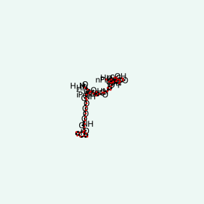 CCCC1O[C@@H]2C[C@H]3[C@@H]4C[C@H](F)C5=CC(=O)C=C[C@]5(C)[C@@]4(F)[C@@H](O)C[C@]3(C)[C@]2(C(=O)COc2ccc(CNC(=O)OCc3ccc(NC(=O)[C@H](CCCNC(N)=O)NC(=O)[C@@H](NC(=O)CCOCCOCCOCCOCCNC(=O)CCC(=O)N4Cc5ccccc5C#Cc5ccccc54)C(C)C)cc3)cc2)O1